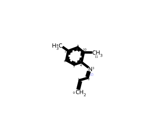 C=C/C=N\c1ccc(C)cc1C